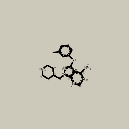 Cc1cccc(Sc2nn(CC3CCNCC3)c3ncnc(N)c23)c1